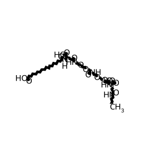 CCCCCNC(=O)CC[C@H](NC(=O)COCCOCCNC(=O)COCCOCCNC(=O)CC[C@H](NC(=O)CCCCCCCCCCCCCCCCC(=O)O)C(=O)O)C(=O)O